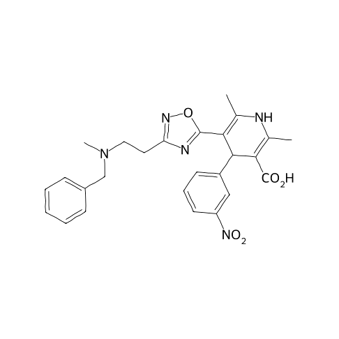 CC1=C(C(=O)O)C(c2cccc([N+](=O)[O-])c2)C(c2nc(CCN(C)Cc3ccccc3)no2)=C(C)N1